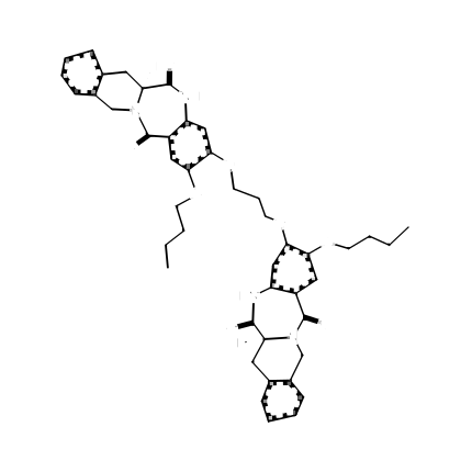 CCCCOc1cc2c(cc1OCCCOc1cc3c(cc1OCCCC)C(=O)N1Cc4ccccc4C[C@H]1C(=O)N3)NC(=O)[C@@H]1Cc3ccccc3CN1C2=O